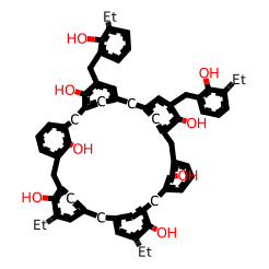 CCc1cccc(Cc2cc3cc(c2O)Cc2cccc(c2O)Cc2cc(cc(CC)c2O)Cc2cc(CC)c(O)c(c2)Cc2cccc(c2O)Cc2cc(cc(Cc4cccc(CC)c4O)c2O)C3)c1O